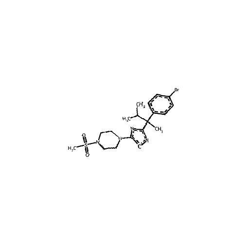 CC(C)C(C)(c1ccc(Br)cc1)c1noc(N2CCN(S(C)(=O)=O)CC2)n1